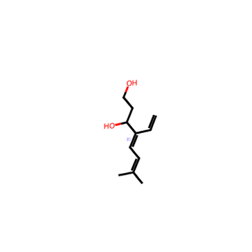 C=C/C(=C\C=C(C)C)C(O)CCO